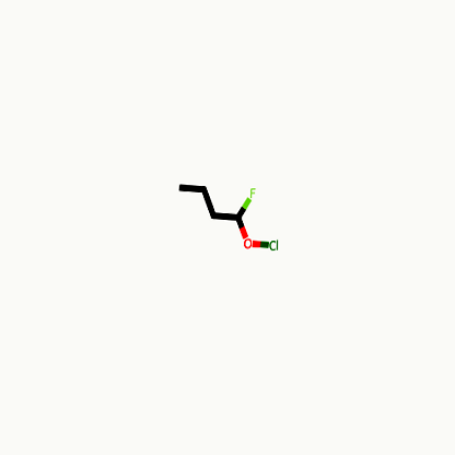 CCCC(F)OCl